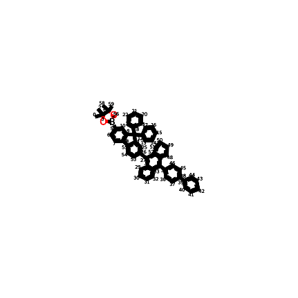 CC1(C)OB(c2ccc3c(c2)C(c2ccccc2)(c2ccccc2)c2cc(-c4c5ccccc5c(-c5ccc(-c6ccccc6)cc5)c5ccccc45)ccc2-3)OC1(C)C